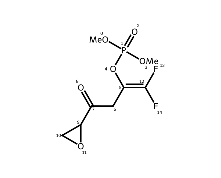 COP(=O)(OC)OC(CC(=O)C1CO1)=C(F)F